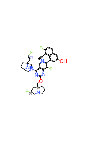 C#Cc1c(F)ccc2cc(O)cc(-c3ncc4c(N5CC6CCC(/C=C/F)(C5)N6)nc(OC[C@@]56CCCN5C[C@H](F)C6)nc4c3F)c12